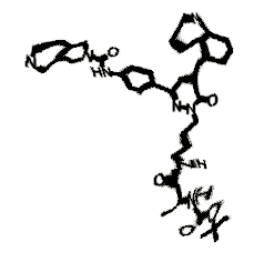 C[C@H](NC(=O)OC(C)(C)C)C(=O)NCCCCN1N=C(c2ccc(NC(=O)N3Cc4ccncc4C3)cc2)CC(c2cccc3ncccc23)C1=O